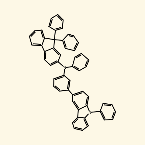 c1ccc(N(c2cccc(-c3ccc4c(c3)c3ccccc3n4-c3ccccc3)c2)c2ccc3c(c2)C(c2ccccc2)(c2ccccc2)c2ccccc2-3)cc1